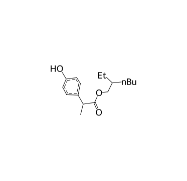 CCCCC(CC)COC(=O)C(C)c1ccc(O)cc1